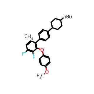 C.CCCCC1CCC(c2ccc(-c3ccc(F)c(F)c3Oc3ccc(OC(F)(F)F)cc3)cc2)CC1